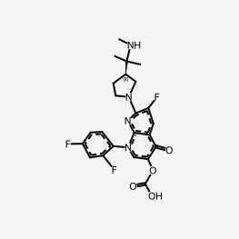 CNC(C)(C)[C@@H]1CCN(c2nc3c(cc2F)c(=O)c(OC(=O)O)cn3-c2ccc(F)cc2F)C1